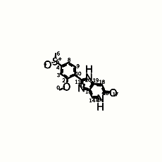 COc1cc([S+](C)[O-])ccc1-c1nc2c[nH]c(=O)cc2[nH]1